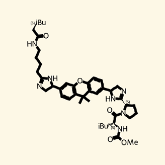 CC[C@H](C)CC(=O)NCCCCC1=NCC(c2ccc3c(c2)Oc2ccc(C4CN=C([C@@H]5CCCN5C(=O)[C@@H](NC(=O)OC)[C@@H](C)CC)N4)cc2C3(C)C)N1